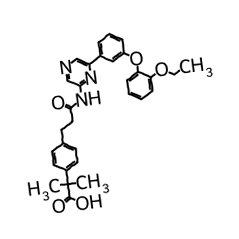 CCOc1ccccc1Oc1cccc(-c2cncc(NC(=O)CCc3ccc(C(C)(C)C(=O)O)cc3)n2)c1